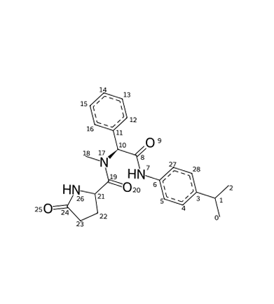 CC(C)c1ccc(NC(=O)[C@H](c2ccccc2)N(C)C(=O)C2CCC(=O)N2)cc1